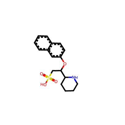 O=S(=O)(O)CC(Oc1ccc2ccccc2c1)C1CCCCN1